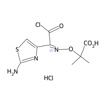 CC(C)(O/N=C(\C(=O)Cl)c1csc(N)n1)C(=O)O.Cl